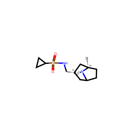 CN1C2CC[C@@H]1C[C@@H](CNS(=O)(=O)C1CC1)C2